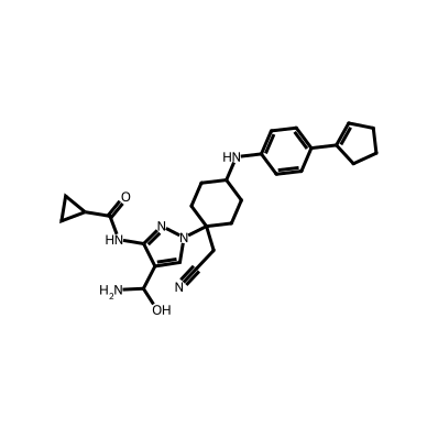 N#CCC1(n2cc(C(N)O)c(NC(=O)C3CC3)n2)CCC(Nc2ccc(C3=CCCC3)cc2)CC1